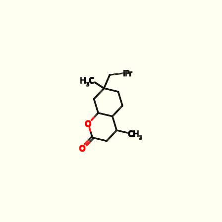 CC(C)CC1(C)CCC2C(C)CC(=O)OC2C1